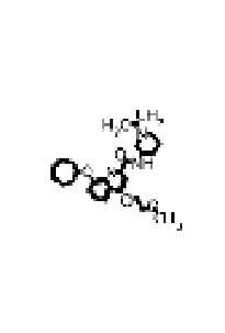 COCCOc1cc(C(=O)N[C@@H]2CCCN(C(C)C)C2)nc2c(OC3CCCCCC3)cccc12